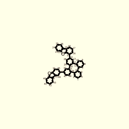 c1ccc2c(c1)-c1ccccc1-c1cc(-c3cccc4c3oc3ccccc34)ccc1-c1cc(-c3ccc4oc5ccccc5c4c3)ccc1-2